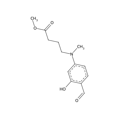 COC(=O)CCCN(C)c1ccc(C=O)c(O)c1